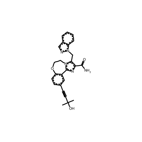 CC(C)(O)C#Cc1ccc2c(c1)-c1nc(C(N)=O)c(Cn3ncc4ccccc43)n1CCO2